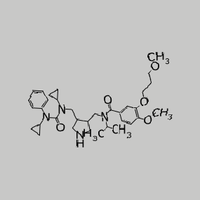 COCCCOc1cc(C(=O)N(CC2CNCC2CN(C(=O)N(c2ccccc2)C2CC2)C2CC2)C(C)C)ccc1OC